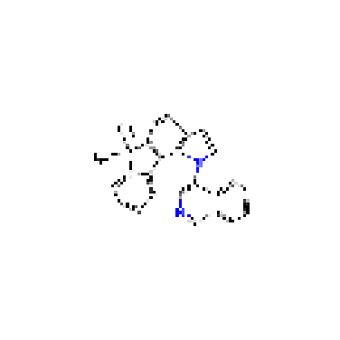 CC1(C)c2ccccc2-c2c1ccc1ccn(-c3cncc4ccccc34)c21